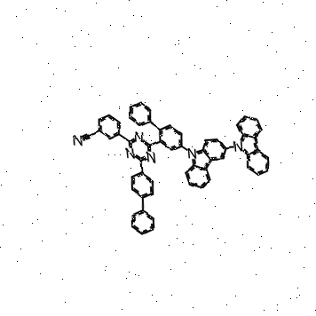 N#Cc1cccc(-c2nc(-c3ccc(-c4ccccc4)cc3)nc(-c3cc(-n4c5ccccc5c5cc(-n6c7ccccc7c7ccccc76)ccc54)ccc3-c3ccccc3)n2)c1